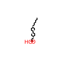 CCCCCCC[C@H]1CC[C@H]([C@H]2CC[C@H](CCC(=O)O)CC2)CC1